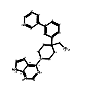 NCC1(c2cccc(-c3cccnc3)c2)CCN(c2ncnc3[nH]ccc23)CC1